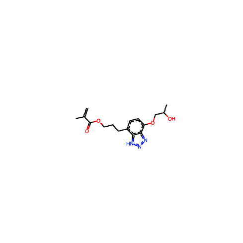 C=C(C)C(=O)OCCCc1ccc(OCC(C)O)c2nn[nH]c12